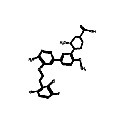 COc1ccc(-c2cnc(N)c(OCCc3c(Cl)ccc(F)c3Cl)c2)nc1N1CCN(C(=O)O)C[C@@H]1C